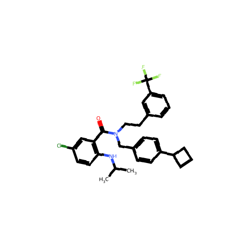 CC(C)Nc1ccc(Cl)cc1C(=O)N(CCc1cccc(C(F)(F)F)c1)Cc1ccc(C2CCC2)cc1